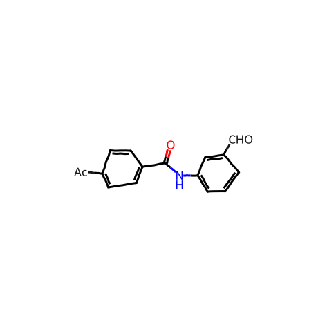 CC(=O)c1ccc(C(=O)Nc2cccc(C=O)c2)cc1